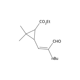 CCCC/C(C=O)=C/C1C(C(=O)OCC)C1(C)C